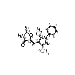 Cc1nn(-c2ccccc2)c(C)c1C=C1OC(=S)NC1=O